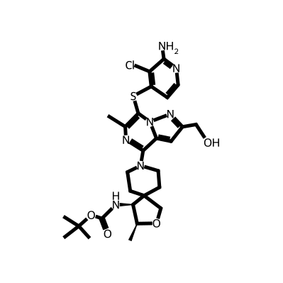 Cc1nc(N2CCC3(CC2)CO[C@@H](C)[C@H]3NC(=O)OC(C)(C)C)c2cc(CO)nn2c1Sc1ccnc(N)c1Cl